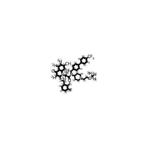 [2H]c1c(C)c([2H])c2c(c1[2H])c(=O)c([2H])c(SCc1cccc(F)c1F)n2C([2H])([2H])C(=O)N(Cc1ccc(-c2ccc(C(F)(F)F)cc2)cc1)C1CCN(CCOC([2H])([2H])[2H])CC1